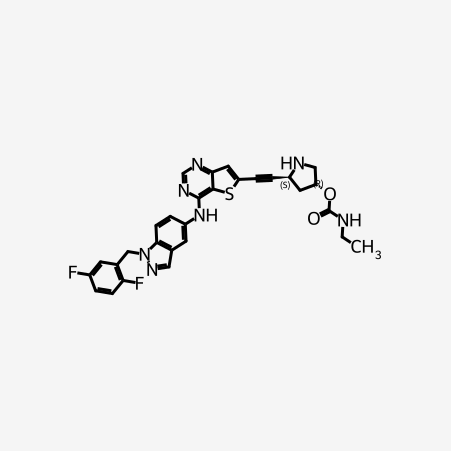 CCNC(=O)O[C@H]1CN[C@H](C#Cc2cc3ncnc(Nc4ccc5c(cnn5Cc5cc(F)ccc5F)c4)c3s2)C1